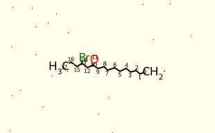 [CH2]CCCCCCCCCC(=O)CC(Br)CCC